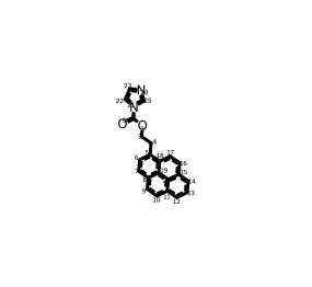 O=C(OCCc1ccc2ccc3cccc4ccc1c2c34)n1ccnc1